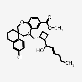 CCC/C=C/[C@@H](O)[C@@H]1CC[C@H]1CN1C[C@@]2(CCCc3cc(Cl)ccc32)COc2ccc(C(=O)OC)cc21